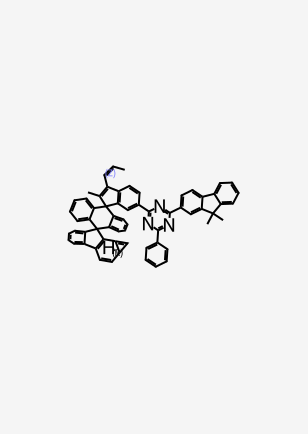 C/C=C\C1=C(C)C2(c3cc(-c4nc(-c5ccccc5)nc(-c5ccc6c(c5)C(C)(C)c5ccccc5-6)n4)ccc31)c1ccccc1C1(C3=C(C=C[C@@H]4C=C34)c3ccccc31)c1ccccc12